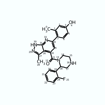 Cc1cc(O)ccc1-c1cc(C(=O)N2CCNCC2c2ccccc2F)c2c(C)n[nH]c2n1